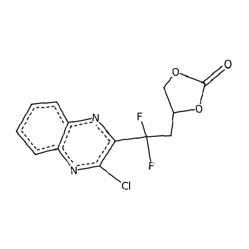 O=C1OCC(CC(F)(F)c2nc3ccccc3nc2Cl)O1